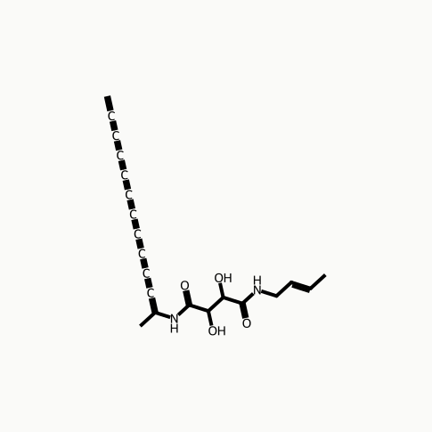 C=C=C=C=C=C=C=C=C=C=C=C(C)NC(=O)C(O)C(O)C(=O)NC/C=C/C